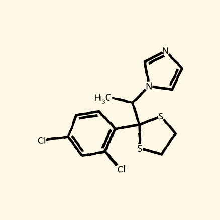 CC(n1ccnc1)C1(c2ccc(Cl)cc2Cl)SCCS1